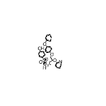 CC(COc1ccc(Oc2ccccc2)cc1)Oc1ccccn1.Cc1ccc(S(=O)(=O)O)cc1